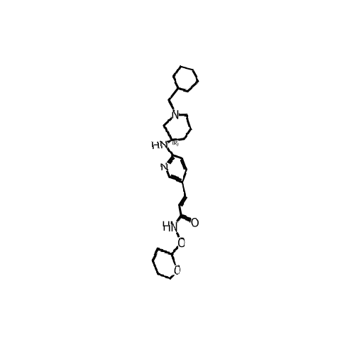 O=C(C=Cc1ccc(N[C@@H]2CCCN(CC3CCCCC3)C2)nc1)NOC1CCCCO1